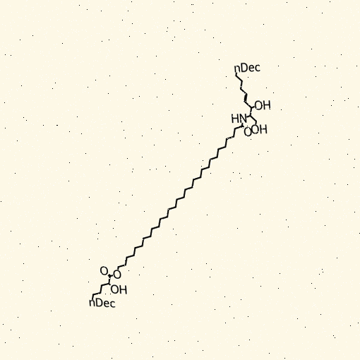 CCCCCCCCCCCCC/C=C/C(O)C(CO)NC(=O)CCCCCCCCCCCCCCCCCCCCCCCCCCCCCOC(=O)C(O)CCCCCCCCCCCCC